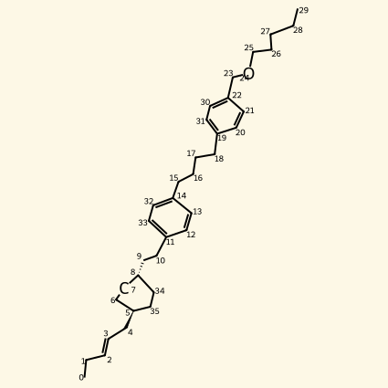 CCC=CC[C@H]1CC[C@H](CCc2ccc(CCCCc3ccc(COCCCCC)cc3)cc2)CC1